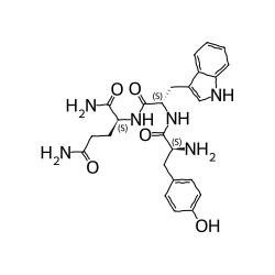 NC(=O)CC[C@H](NC(=O)[C@H](Cc1c[nH]c2ccccc12)NC(=O)[C@@H](N)Cc1ccc(O)cc1)C(N)=O